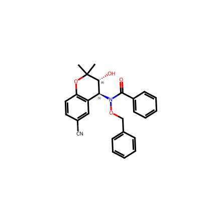 CC1(C)Oc2ccc(C#N)cc2[C@H](N(OCc2ccccc2)C(=O)c2ccccc2)[C@H]1O